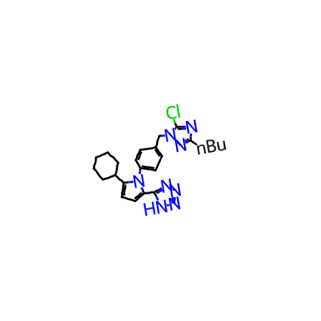 CCCCc1nc(Cl)n(Cc2ccc(-n3c(-c4nnn[nH]4)ccc3C3CCCCC3)cc2)n1